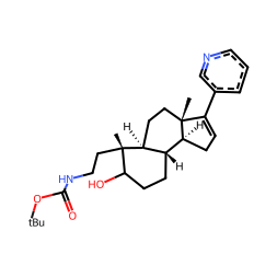 CC(C)(C)OC(=O)NCC[C@@]1(C)C(O)CC[C@@H]2[C@@H]1CC[C@]1(C)C(c3cccnc3)=CC[C@@H]21